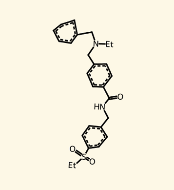 CCN(Cc1ccccc1)Cc1ccc(C(=O)NCc2ccc(S(=O)(=O)CC)cc2)cc1